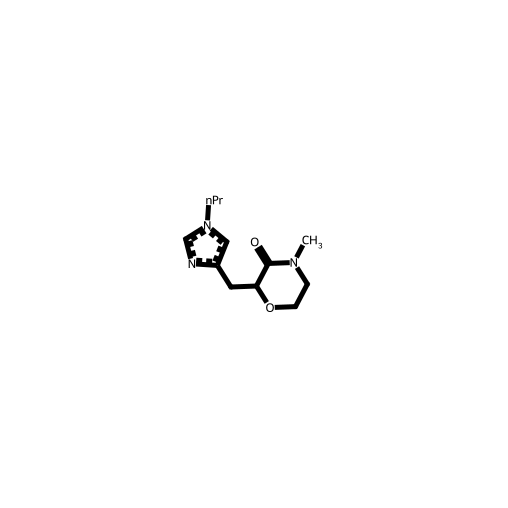 CCCn1cnc(CC2OCCN(C)C2=O)c1